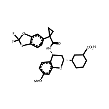 COc1ccc2c(c1)O[C@@H](C1CCCC(C(=O)O)C1)C[C@H]2NC(=O)C1(c2ccc3c(c2)OC(F)(F)O3)CC1